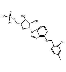 O=P(O)(O)OC[C@H]1O[C@@H](n2cnc3c(NCc4ccc(F)cc4O)ncnc32)[C@H](O)[C@@H]1O